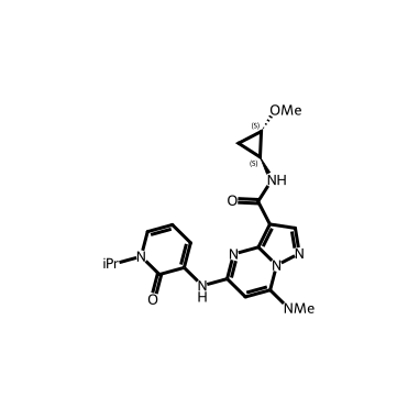 CNc1cc(Nc2cccn(C(C)C)c2=O)nc2c(C(=O)N[C@H]3C[C@@H]3OC)cnn12